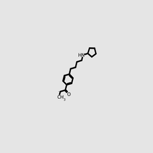 C[CH]C(=O)c1ccc(CCCCNC2CCCC2)cc1